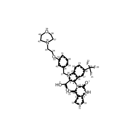 O=C(O)c1c(-n2c(=O)[nH]c3cscc3c2=O)c2cc(C(F)(F)F)ccc2n1Cc1cccc(OCCN2CCOCC2)c1